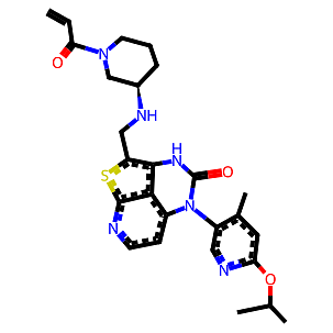 C=CC(=O)N1CCC[C@@H](NCc2sc3nccc4c3c2NC(=O)N4c2cnc(OC(C)C)cc2C)C1